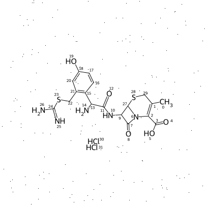 CC1=C(C(=O)O)N2C(=O)C(NC(=O)C(N)c3ccc(O)cc3CSC(=N)N)C2SC1.Cl.Cl